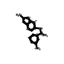 Cc1cc2ncc(N[C@@H](C)c3cccc(N)c3)nc2s1